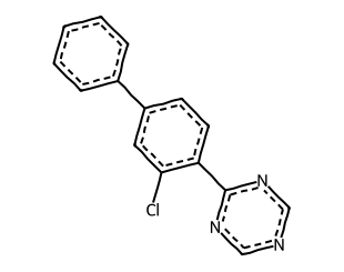 Clc1cc(-c2ccccc2)ccc1-c1ncncn1